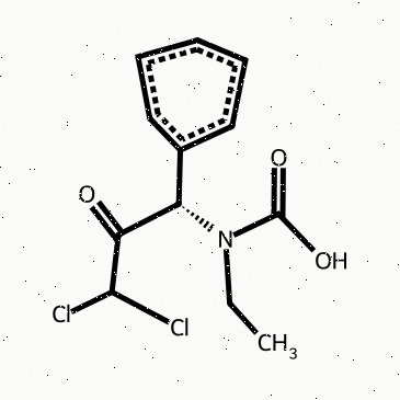 CCN(C(=O)O)[C@H](C(=O)C(Cl)Cl)c1ccccc1